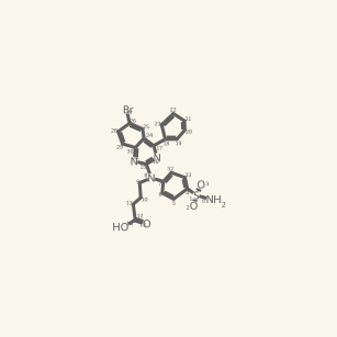 NS(=O)(=O)c1ccc(N(CCCC(=O)O)c2nc(-c3ccccc3)c3cc(Br)ccc3n2)cc1